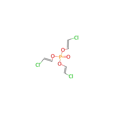 O=P(O/C=C/Cl)(O/C=C/Cl)O/C=C/Cl